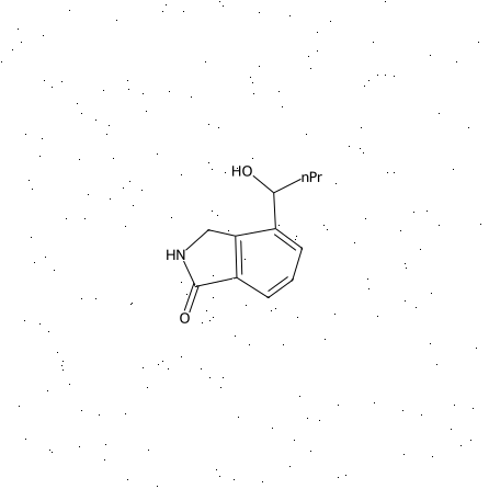 CCCC(O)c1cccc2c1CNC2=O